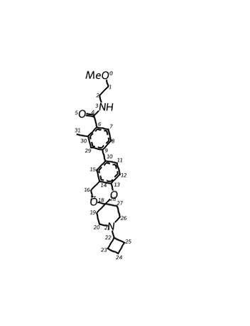 COCCNC(=O)c1ccc(-c2ccc3c(c2)COC2(CCN(C4CCC4)CC2)O3)cc1C